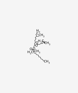 CCCCCCCCCCC(C)(C)C(=O)OCC(CCCCCC(CC)CC)OC(=O)CCCN(C)C